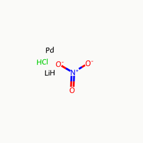 Cl.O=[N+]([O-])[O-].[LiH].[Pd]